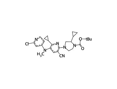 CN(c1ccnc(Cl)c1)c1cc(C#N)c(N2CCN(C(=O)OC(C)(C)C)C(C3CC3)C2)nc1C1CC1